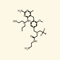 CCC[C@@H](CCO)Nc1nc(N)nc(C)c1Cc1ccc(CN(CC(=O)NCCN)CC(F)(F)F)cc1OC